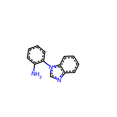 Nc1ccc[c]c1-n1cnc2ccccc21